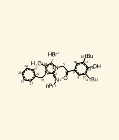 Br.CCCN=c1n(CC(=O)c2cc(C(C)(C)C)c(O)c(C(C)(C)C)c2)cc(C)n1Cc1ccccc1